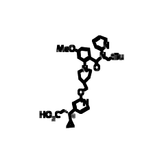 COc1ccc(C(=O)N(CC(C)(C)C)c2ccccn2)c(N2CCC(COc3cc([C@@H](CC(=O)O)C4CC4)ccn3)CC2)c1